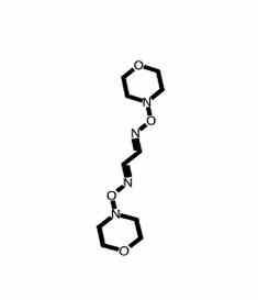 C(/C=N/ON1CCOCC1)=N\ON1CCOCC1